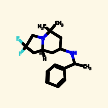 CC(NC1C[C@@H]2CC(F)(F)CN2C(C)(C)C1)c1ccccc1